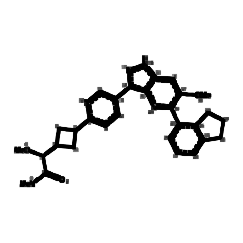 CNC(=O)C(OC)C1CC(c2ccc(-c3n[nH]c4cc(OC)c(-c5cccc6c5CCC6)nc34)cn2)C1